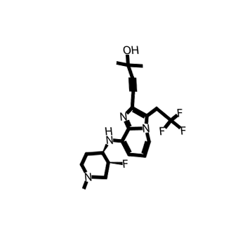 CN1CC[C@@H](Nc2cccn3c(CC(F)(F)F)c(C#CC(C)(C)O)nc23)[C@@H](F)C1